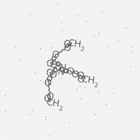 C=CC(=O)OCCCCCCOC1CCC(C(=O)Oc2cccc(-c3nc4ccc(OCCOCCOC(=O)C=C)cc4nc3-c3cccc(OC(=O)C4CCC(OCCCCCCOC(=O)C=C)CC4)c3)c2)CC1